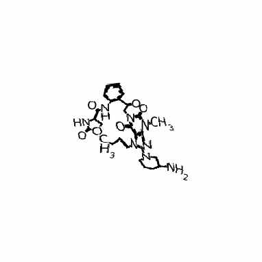 CC/C=C/n1c(N2CCCC(N)C2)nc2c1c(=O)n(CC(=O)c1ccccc1NC(=O)C1COC(=O)N1)c(=O)n2C